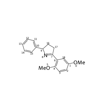 COc1ccc(OC)c(C2=NC(c3ccccc3)CC2)c1